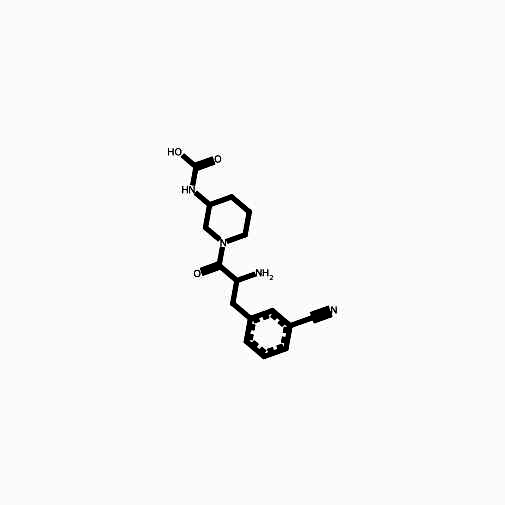 N#Cc1cccc(CC(N)C(=O)N2CCCC(NC(=O)O)C2)c1